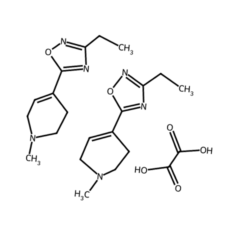 CCc1noc(C2=CCN(C)CC2)n1.CCc1noc(C2=CCN(C)CC2)n1.O=C(O)C(=O)O